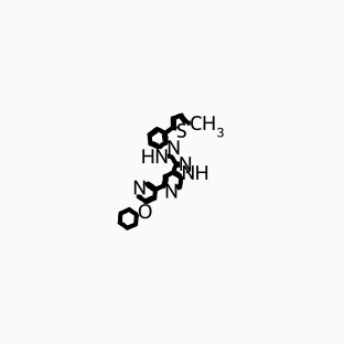 Cc1ccc(-c2cccc3[nH]c(-c4n[nH]c5cnc(-c6cncc(OC7CCCCC7)c6)cc45)nc23)s1